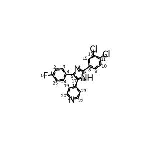 Fc1ccc(-c2nc(-c3ccc(Cl)c(Cl)c3)[nH]c2-c2ccncc2)cc1